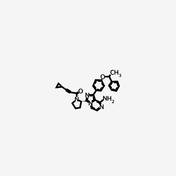 CC(Oc1ccc(-c2nc([C@@H]3CCCN3C(=O)C#CC3CC3)n3ccnc(N)c23)cc1)c1ccccc1